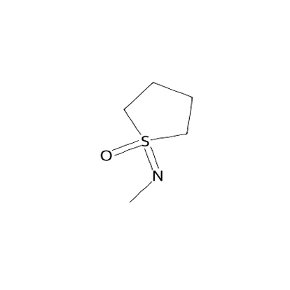 CN=S1(=O)CCCC1